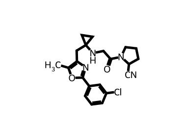 Cc1oc(-c2cccc(Cl)c2)nc1CC1(NCC(=O)N2CCCC2C#N)CC1